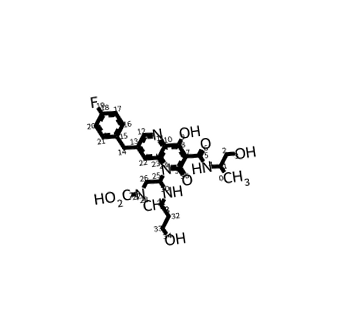 CC(CO)NC(=O)c1c(O)c2ncc(Cc3ccc(F)cc3)cc2n(C(CN(C)C(=O)O)NCCCO)c1=O